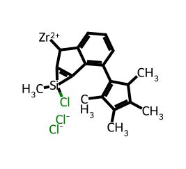 CC1=C(C)C(C)C(c2cccc3c2C2=C([CH]3[Zr+2])[Si]2(C)Cl)=C1C.[Cl-].[Cl-]